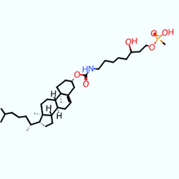 CC(C)CCC[C@@H](C)[C@H]1CC[C@H]2[C@@H]3CC=C4C[C@@H](OC(=O)NCCCCCC(O)CCOP(C)(=O)O)CC[C@]4(C)[C@H]3CC[C@]12C